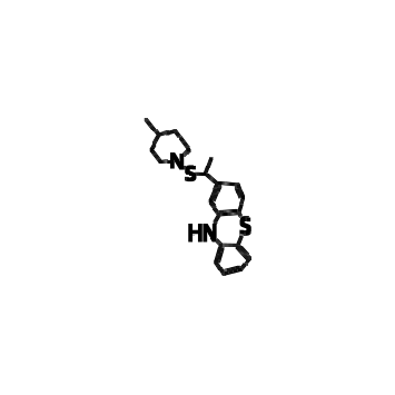 CC1CCN(SC(C)c2ccc3c(c2)Nc2ccccc2S3)CC1